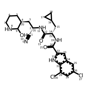 N#C[C@H](C[C@@H]1CCCNC1O)NC(=O)[C@H](CC1CC1)NC(=O)c1cc2cc(Cl)cc(Cl)c2[nH]1